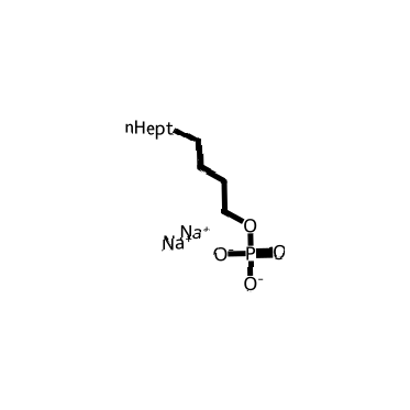 CCCCCCCCCCCOP(=O)([O-])[O-].[Na+].[Na+]